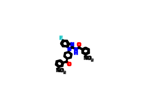 O=C(Nc1nc2cc(F)ccc2n1[C@H]1CC[C@H](C(=O)c2cccc([N+](=O)[O-])c2)CC1)c1cccc([N+](=O)[O-])c1